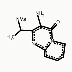 CNC(C)c1nc2ccccn2c(=O)c1N